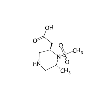 C[C@@H]1CNC[C@@H](CC(=O)O)N1S(C)(=O)=O